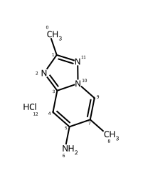 Cc1nc2cc(N)c(C)cn2n1.Cl